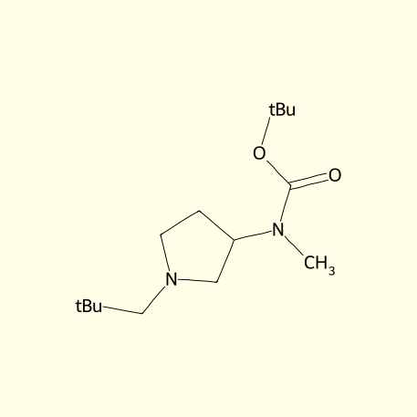 CN(C(=O)OC(C)(C)C)C1CCN(CC(C)(C)C)C1